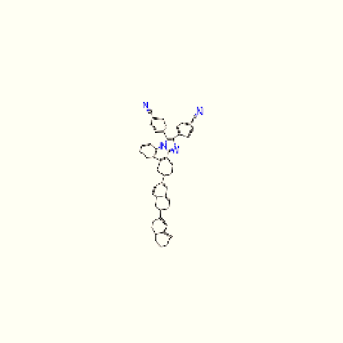 N#CC1=CCC(c2c(-c3ccc(C#N)cc3)nc3c4c(c5c(n23)C=CCC5)CC(C2=CC3=CCC(C5=CC6=CCCCC6CC5)CC3C=C2)CC4)C=C1